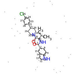 CC(C)[C@@H](NC(=O)c1ccc2[nH]ccc2c1)C(=O)N1CCC(c2ccc(Cl)cc2)CC1